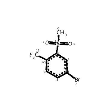 CS(=O)(=O)c1cc(Br)ccc1C(F)(F)F